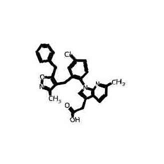 Cc1ccc2c(CC(=O)O)cn(-c3ccc(Cl)cc3Cc3c(C)noc3Cc3ccccc3)c2n1